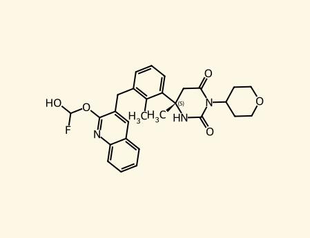 Cc1c(Cc2cc3ccccc3nc2OC(O)F)cccc1[C@]1(C)CC(=O)N(C2CCOCC2)C(=O)N1